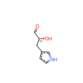 O=C[C@@H](O)Cc1cc[nH]c1